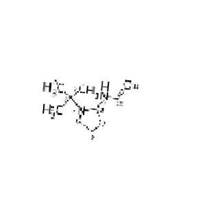 CC(C)(C)N1CCCC1NC=O